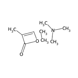 CC.CC1=COC1=O.CN(C)C